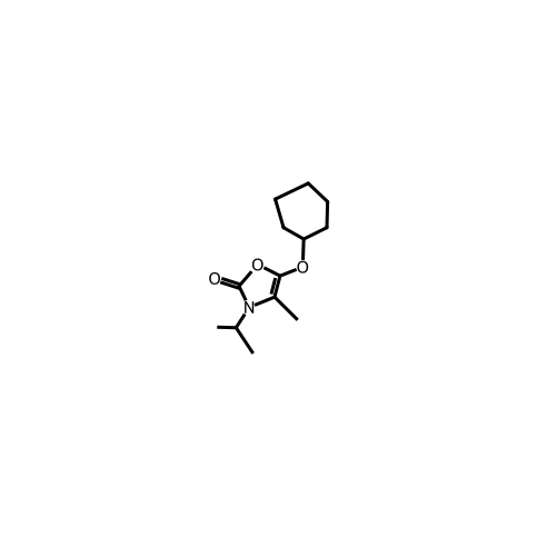 Cc1c(OC2CCCCC2)oc(=O)n1C(C)C